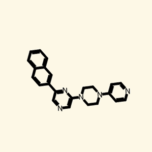 c1ccc2cc(-c3cncc(N4CCN(c5ccncc5)CC4)n3)ccc2c1